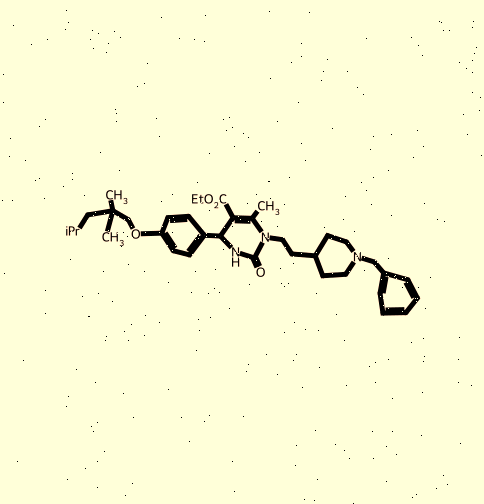 CCOC(=O)C1=C(C)N(CCC2CCN(Cc3ccccc3)CC2)C(=O)NC1c1ccc(OCC(C)(C)CC(C)C)cc1